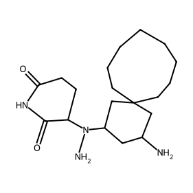 NC1CC(N(N)C2CCC(=O)NC2=O)CC2(CCCCCCCC2)C1